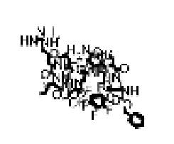 CC[C@H](C)[C@H](NC(=O)C(CCCNC(=N)N)NC(=O)[C@@H](C)CC(C)C)C(=O)NC(C(=O)NCC(=O)N[C@H](C(=O)N[C@@H](CO)C(=O)NC[C@H](NC(=O)OCc1ccccc1)C(=O)Oc1c(F)c(F)c(F)c(F)c1F)[C@H](O)C(N)=O)[C@H](C)O